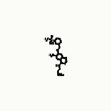 Bc1cc2c(NCCOC)ncnc2cc1OCc1cccc(S(C)(=N)=O)c1